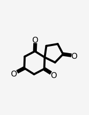 O=C1CC(=O)C2(CCC(=O)C2)C(=O)C1